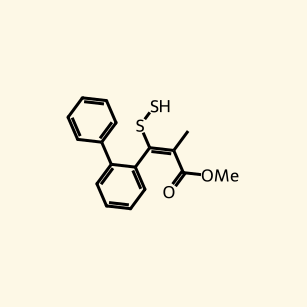 COC(=O)C(C)=C(SS)c1ccccc1-c1ccccc1